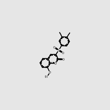 CCOc1cccc2cc(S(=O)(=O)c3ccc(C)c(C)c3)c(=O)oc12